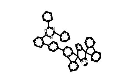 c1ccc(-c2nc(-c3ccccc3)nc(-c3ccccc3-c3ccc(-c4ccc5c(c4)-c4ccccc4C54c5ccccc5C5(c6ccccc6-c6ccccc65)c5ccccc54)cc3)n2)cc1